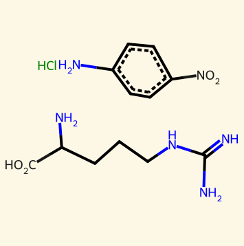 Cl.N=C(N)NCCCC(N)C(=O)O.Nc1ccc([N+](=O)[O-])cc1